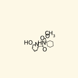 COC(=O)C1(NC(=O)c2cccc(O)n2)CCCCC1